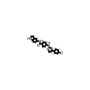 O=C(Nc1ccc2[nH]ccc2c1)c1ccc(Nc2nccc(-c3ccc(Cl)cc3)n2)cc1